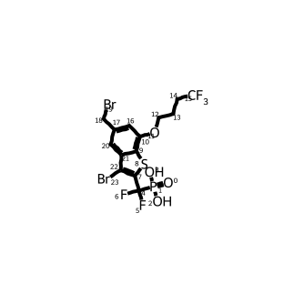 O=P(O)(O)C(F)(F)c1sc2c(OCCCC(F)(F)F)cc(CBr)cc2c1Br